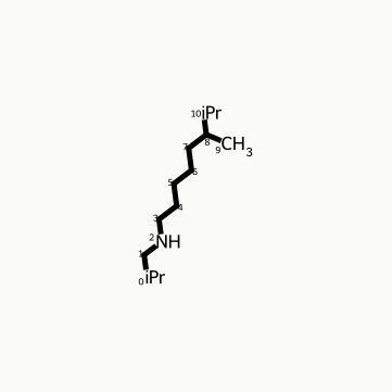 CC(C)CNCCCCCC(C)C(C)C